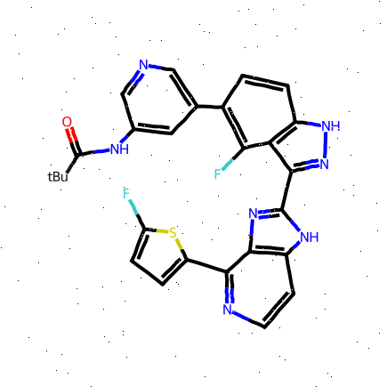 CC(C)(C)C(=O)Nc1cncc(-c2ccc3[nH]nc(-c4nc5c(-c6ccc(F)s6)nccc5[nH]4)c3c2F)c1